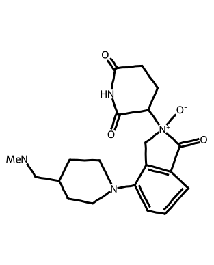 CNCC1CCN(c2cccc3c2C[N+]([O-])(C2CCC(=O)NC2=O)C3=O)CC1